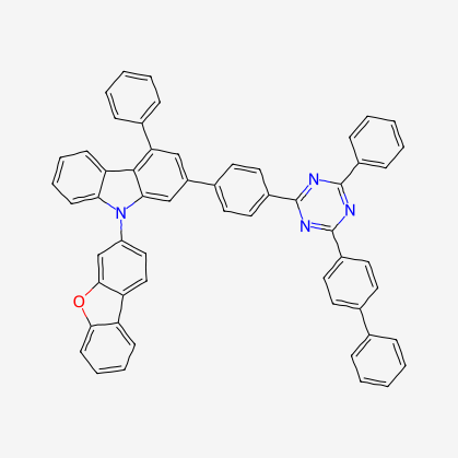 c1ccc(-c2ccc(-c3nc(-c4ccccc4)nc(-c4ccc(-c5cc(-c6ccccc6)c6c7ccccc7n(-c7ccc8c(c7)oc7ccccc78)c6c5)cc4)n3)cc2)cc1